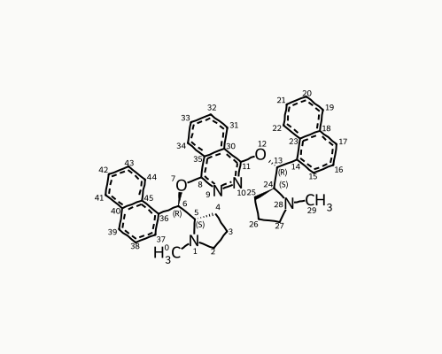 CN1CCC[C@H]1[C@H](Oc1nnc(O[C@H](c2cccc3ccccc23)[C@@H]2CCCN2C)c2ccccc12)c1cccc2ccccc12